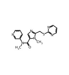 CN(C(=O)c1cnc(CSc2ncccn2)n1C)c1cccnc1